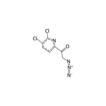 [N-]=[N+]=NCC(=O)c1ccc(Cl)c(Cl)n1